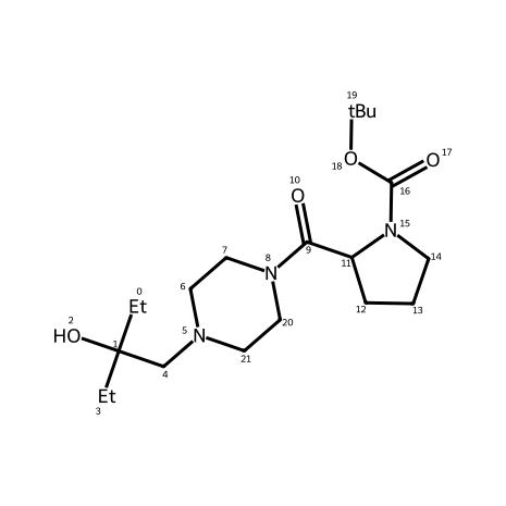 CCC(O)(CC)CN1CCN(C(=O)C2CCCN2C(=O)OC(C)(C)C)CC1